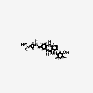 Cc1cc(F)c(Nc2ccnc3c2C(=O)Nc2cc(CN[C@H]4C[C@H](C(=O)O)C4)ccc2N3)cc1O